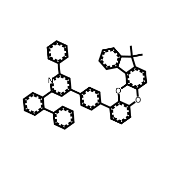 CC1(C)c2ccccc2-c2c1ccc1c2Oc2c(cccc2-c2ccc(-c3cc(-c4ccccc4)nc(-c4ccccc4-c4ccccc4)c3)cc2)O1